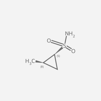 C[C@@H]1C[C@@H]1S(N)(=O)=O